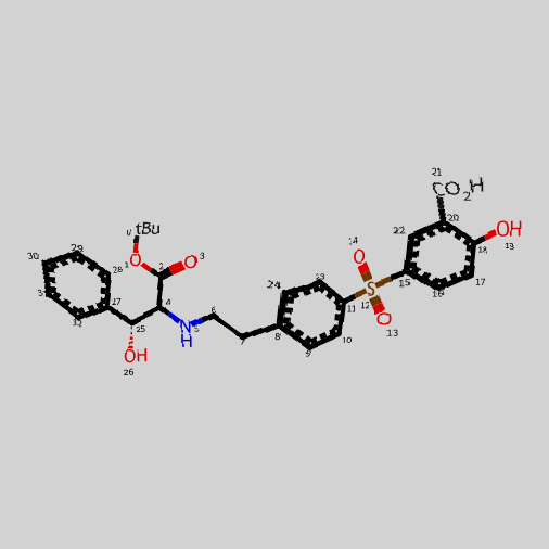 CC(C)(C)OC(=O)C(NCCc1ccc(S(=O)(=O)c2ccc(O)c(C(=O)O)c2)cc1)[C@H](O)c1ccccc1